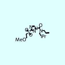 C=CCN(CC(C)C)C(=O)n1cnc(S(=O)(=O)CCOC)n1